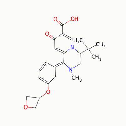 CN1CC(C(C)(C)C)n2cc(C(=O)O)c(=O)cc2/C1=C1\C=CC=C(OC2COC2)C1